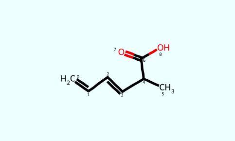 C=C/C=C/C(C)C(=O)O